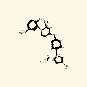 COc1ccc(F)c(N2CCC(Oc3ccc(N4C[C@H](C)C[C@@H]4CC(=O)O)cc3)CC2C)c1